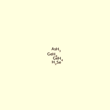 [AsH3].[GeH4].[GeH4].[SeH2]